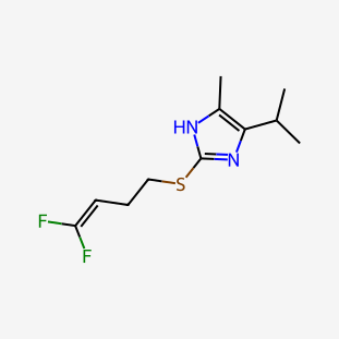 Cc1[nH]c(SCCC=C(F)F)nc1C(C)C